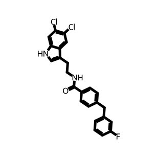 O=C(NCCc1c[nH]c2cc(Cl)c(Cl)cc12)c1ccc(Cc2cccc(F)c2)cc1